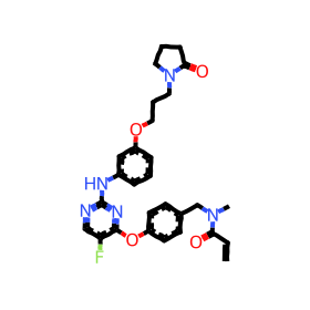 C=CC(=O)N(C)Cc1ccc(Oc2nc(Nc3cccc(OCCCN4CCCC4=O)c3)ncc2F)cc1